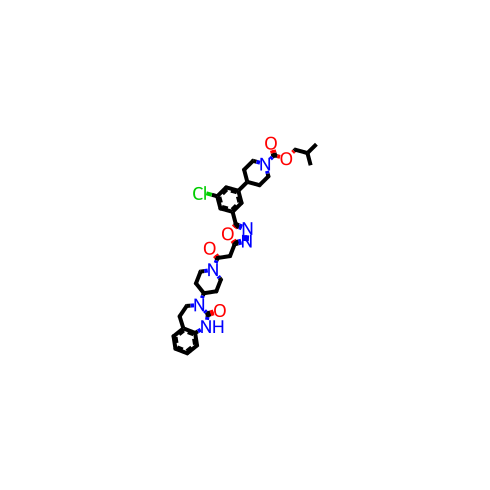 CC(C)COC(=O)N1CCC(c2cc(Cl)cc(-c3nnc(CC(=O)N4CCC(N5CCc6ccccc6NC5=O)CC4)o3)c2)CC1